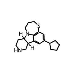 c1c(C2CCCC2)cc2c3c1SCCCN3[C@H]1CCNC[C@@H]21